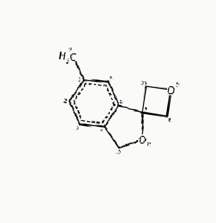 Cc1ccc2c(c1)C1(COC1)OC2